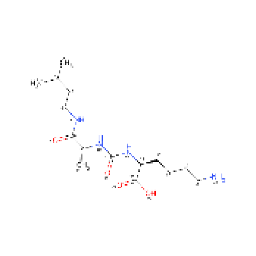 CC(C)CCNC(=O)[C@@H](C)NC(=O)N[C@@H](CCCCN)C(=O)O